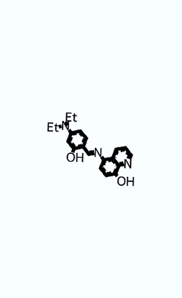 CCN(CC)c1ccc(C=Nc2ccc(O)c3ncccc23)c(O)c1